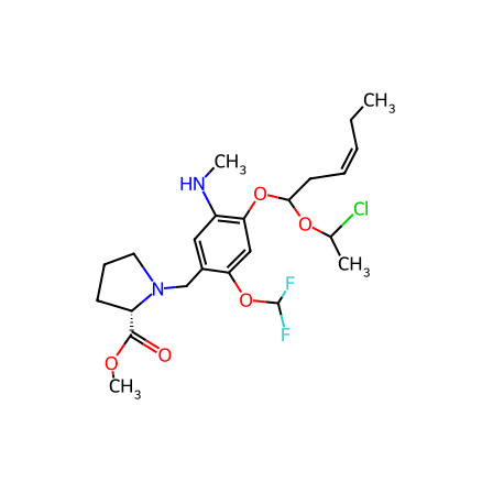 CC/C=C\CC(Oc1cc(OC(F)F)c(CN2CCC[C@H]2C(=O)OC)cc1NC)OC(C)Cl